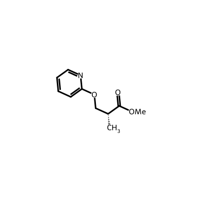 COC(=O)[C@H](C)COc1ccccn1